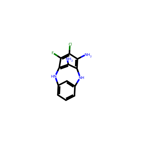 Nc1c(Cl)c(F)c2[nH]c3cccc(c3)[nH]c1c2N